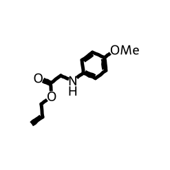 C=CCOC(=O)CNc1ccc(OC)cc1